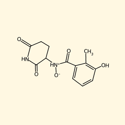 Cc1c(O)cccc1C(=O)[NH+]([O-])C1CCC(=O)NC1=O